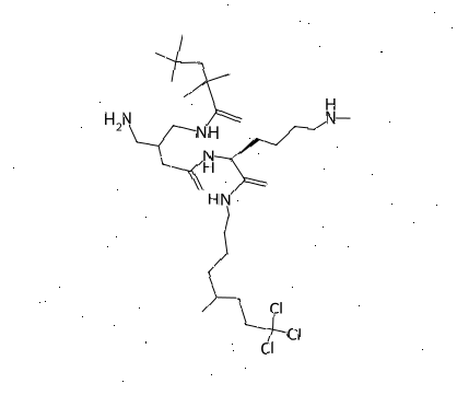 C=C(CC(CN)CNC(=C)C(C)(C)CC(C)(C)C)N[C@@H](CCCCNC)C(=C)NCCCCC(C)CCC(Cl)(Cl)Cl